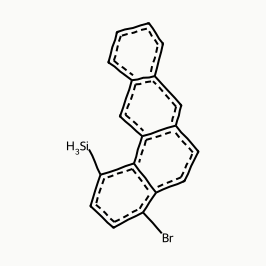 [SiH3]c1ccc(Br)c2ccc3cc4ccccc4cc3c12